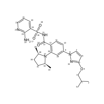 CC(C)COc1ccn(-c2ccc(C(=O)NS(=O)(=O)c3cccnc3N)c(N3[C@H](C)CC[C@@H]3C)c2)n1